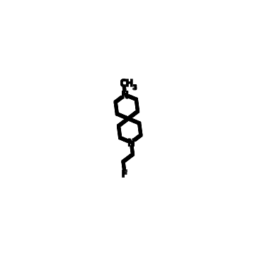 CN1CCC2(CC1)CCN(CCF)CC2